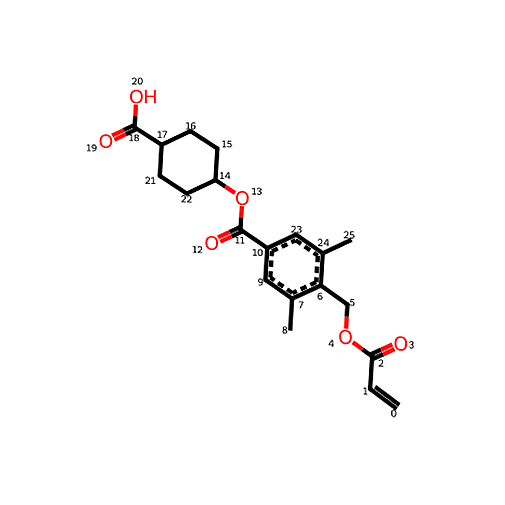 C=CC(=O)OCc1c(C)cc(C(=O)OC2CCC(C(=O)O)CC2)cc1C